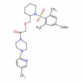 COc1cc(C)c(S(=O)(=O)N2CCCCC2COCC(=O)N2CCN(c3ccc(C(F)(F)F)cn3)CC2)c(C)c1